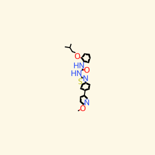 COc1ccc(-c2ccc3nc(NC(=O)Nc4ccccc4OCCC(C)C)sc3c2)cn1